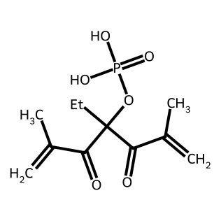 C=C(C)C(=O)C(CC)(OP(=O)(O)O)C(=O)C(=C)C